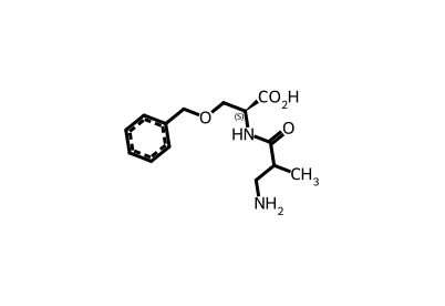 CC(CN)C(=O)N[C@@H](COCc1ccccc1)C(=O)O